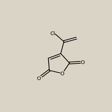 C=C(Cl)C1=CC(=O)OC1=O